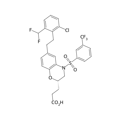 O=C(O)CC[C@H]1CN(S(=O)(=O)c2cccc(C(F)(F)F)c2)c2cc(CCc3c(Cl)cccc3C(F)F)ccc2O1